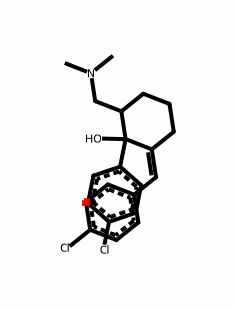 CN(C)CC1CCC/C(=C/c2ccc(Cl)cc2)C1(O)c1ccc(Cl)cc1